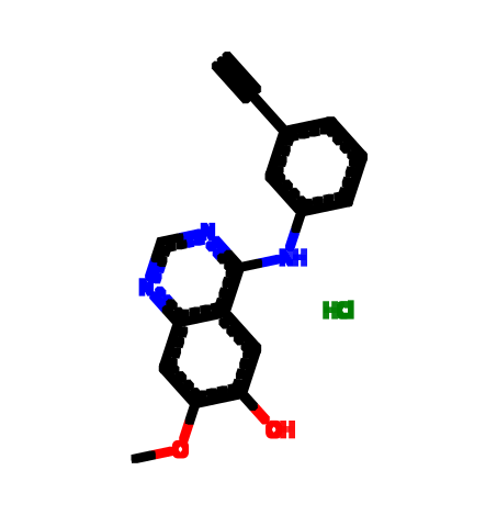 C#Cc1cccc(Nc2ncnc3cc(OC)c(O)cc23)c1.Cl